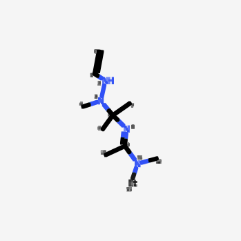 C=CNN(C)C(C)(C)/N=C(\C)N(C)CC